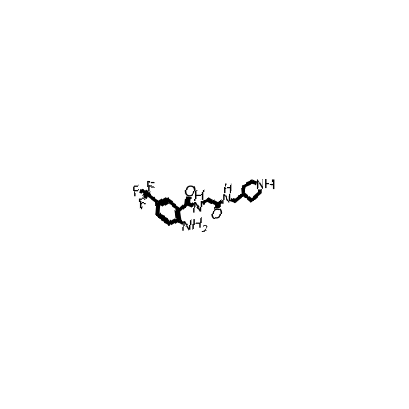 Nc1ccc(C(F)(F)F)cc1C(=O)NCC(=O)NCC1CCNCC1